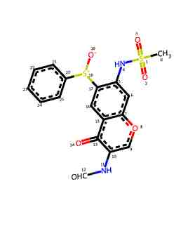 CS(=O)(=O)Nc1cc2occ(NC=O)c(=O)c2cc1[S+]([O-])c1ccccc1